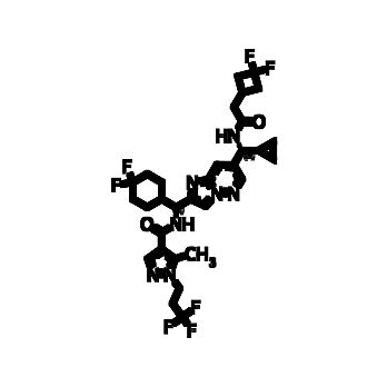 Cc1c(C(=O)N[C@H](c2cn3ncc([C@H](NC(=O)CC4CC(F)(F)C4)C4CC4)cc3n2)C2CCC(F)(F)CC2)cnn1CCC(F)(F)F